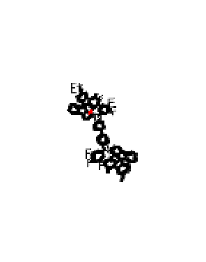 C=Cc1ccc(C2(c3cc(C)ccc3C)c3ccccc3-c3ccc(N(c4ccc(-c5ccc(N(c6cc(F)c(F)c(F)c6)c6ccc7c(c6)C(c6ccc(CC)cc6)(c6cc(C)ccc6C)c6ccccc6-7)cc5)cc4)c4cc(F)c(F)c(F)c4)cc32)cc1